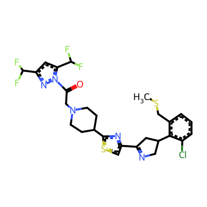 CSCc1cccc(Cl)c1C1CN=C(c2csc(C3CCN(CC(=O)n4nc(C(F)F)cc4C(F)F)CC3)n2)C1